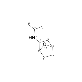 CC(C)NC1CC2CCC1O2